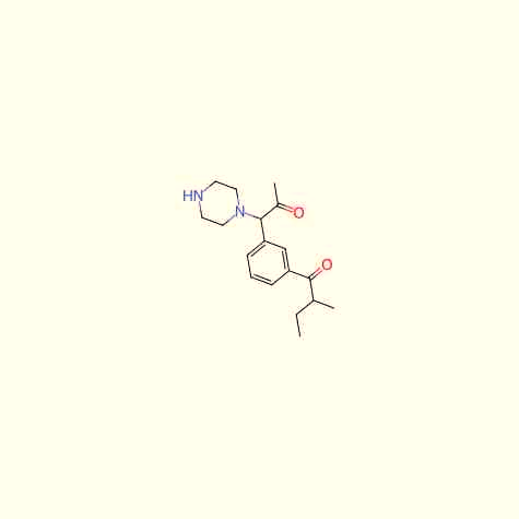 CCC(C)C(=O)c1cccc(C(C(C)=O)N2CCNCC2)c1